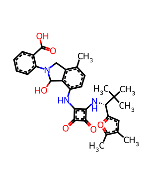 Cc1cc([C@H](Nc2c(Nc3ccc(C)c4c3C(O)N(c3ccccc3C(=O)O)C4)c(=O)c2=O)C(C)(C)C)oc1C